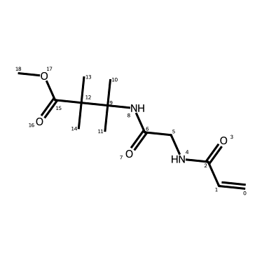 C=CC(=O)NCC(=O)NC(C)(C)C(C)(C)C(=O)OC